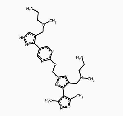 Cc1noc(C)c1-c1nn(COc2ncc(-c3n[nH]cc3CN(C)CCN)cn2)cc1CN(C)CCN